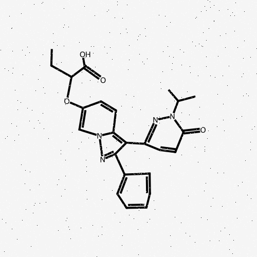 CCC(Oc1ccc2c(-c3ccc(=O)n(C(C)C)n3)c(-c3ccccc3)nn2c1)C(=O)O